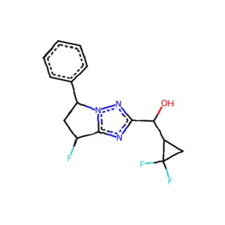 OC(c1nc2n(n1)C(c1ccccc1)CC2F)C1CC1(F)F